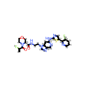 C=C(F)C(=O)N1CCOC[C@H]1C(=O)NCCn1cnc2cnc(Nc3ncc(-c4ncccc4F)s3)cc21